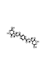 O=C(O)CC(C(=O)O)S(=O)(=O)OC(=O)c1ccc(C(=O)OS(=O)(=O)C(CC(=O)O)C(=O)O)cc1